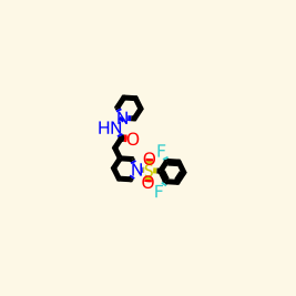 O=C(CC1CCCN(S(=O)(=O)c2c(F)cccc2F)C1)NN1CCCCC1